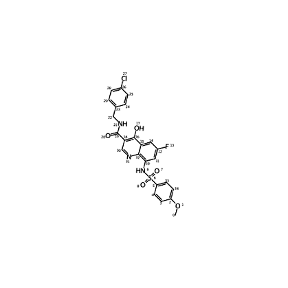 COc1ccc(S(=O)(=O)Nc2cc(F)cc3c(O)c(C(=O)NCc4ccc(Cl)cc4)cnc23)cc1